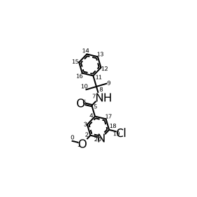 COc1cc(C(=O)NC(C)(C)c2ccccc2)cc(Cl)n1